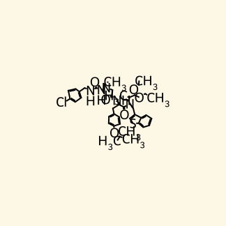 CCOC(OCC)C(C)N(Cc1csc2ccccc12)C(=O)C(Cc1ccc(OC(C)(C)C)cc1)NC(=O)CN(C)NC(=O)NCc1ccc(Cl)cc1